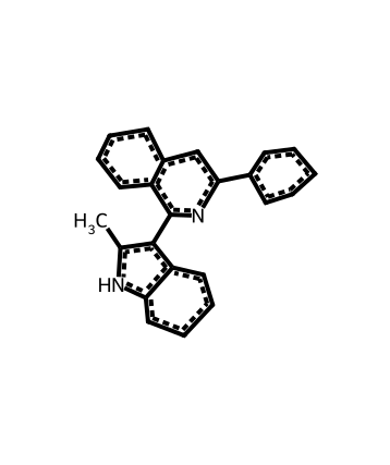 Cc1[nH]c2ccccc2c1-c1nc(-c2ccccc2)cc2ccccc12